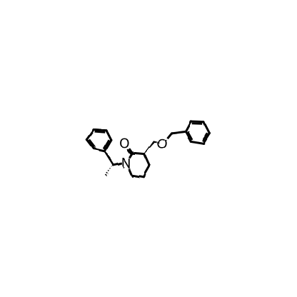 C[C@H](c1ccccc1)N1CCC[C@H](COCc2ccccc2)C1=O